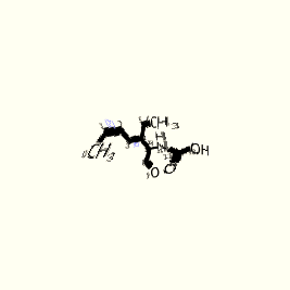 C/C=C\C=C(/CC)[C@H](C=O)NC(=O)O